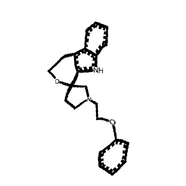 c1ccc(OCCN2CCC3(C2)OCCc2c3[nH]c3ccccc23)cc1